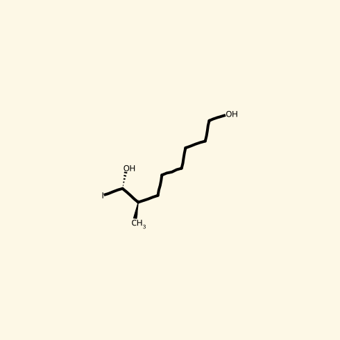 C[C@H](CCCCCCO)[C@@H](O)I